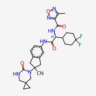 Cc1nonc1C(=O)N[C@H](C(=O)Nc1ccc2c(c1)CC(C#N)(N1CC3(CC3)CNC1=O)C2)C1CCC(F)(F)CC1